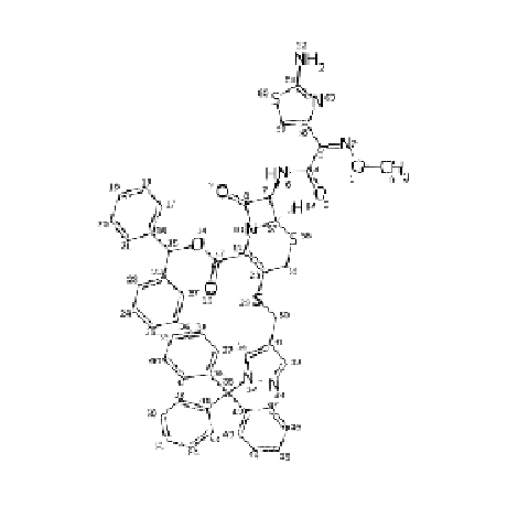 CO/N=C(\C(=O)N[C@@H]1C(=O)N2C(C(=O)OC(c3ccccc3)c3ccccc3)=C(SCc3cnn(C(c4ccccc4)(c4ccccc4)c4ccccc4)c3)CS[C@H]12)c1csc(N)n1